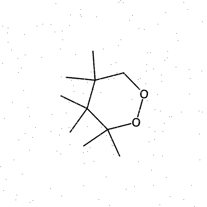 CC1(C)COOC(C)(C)C1(C)C